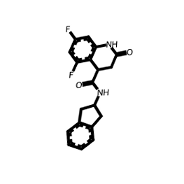 O=C1CC(C(=O)NC2Cc3ccccc3C2)c2c(F)cc(F)cc2N1